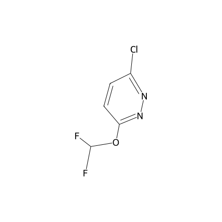 FC(F)Oc1ccc(Cl)nn1